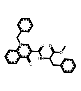 COC(=O)C(Cc1ccccc1)NC(=O)c1cn(Cc2ccccc2)c2ccccc2c1=O